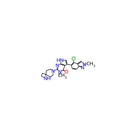 Cn1cc2c(Cl)c(-c3c[nH]c4nc(N5CCC6(CCN6)CC5)n(C)c(=O)c34)ccc2n1